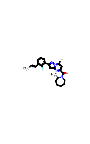 CCc1cc(C(=O)N2CCCCC[C@H]2C)nc2cc(-c3cccc(/C=C/C(=O)O)c3F)nn12